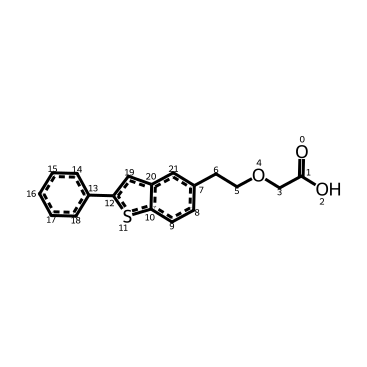 O=C(O)COCCc1ccc2sc(-c3ccccc3)cc2c1